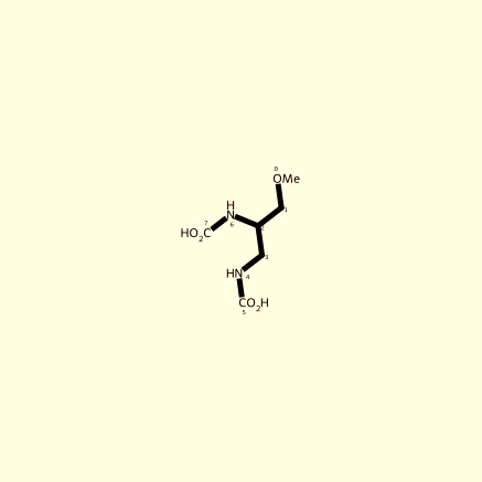 COCC(CNC(=O)O)NC(=O)O